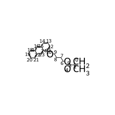 C=C(C)C(=O)OCCCCOc1cccc2cc3ccccc3cc12